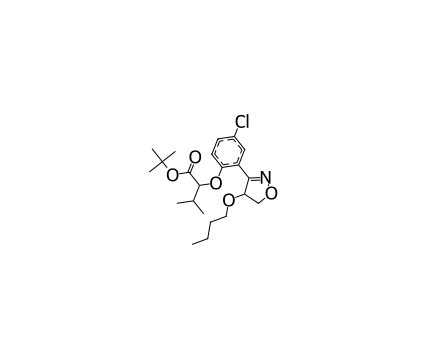 CCCCOC1CON=C1c1cc(Cl)ccc1OC(C(=O)OC(C)(C)C)C(C)C